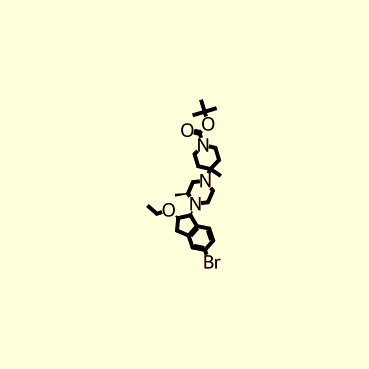 CCO[C@H]1Cc2cc(Br)ccc2[C@H]1N1CCN(C2(C)CCN(C(=O)OC(C)(C)C)CC2)C[C@@H]1C